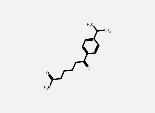 CC(C)c1ccc(C(=O)CCCCC(N)=O)cc1